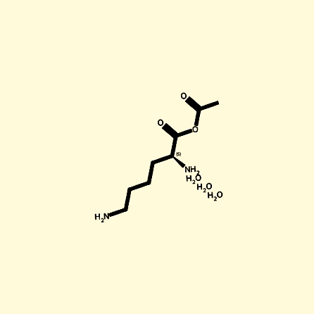 CC(=O)OC(=O)[C@@H](N)CCCCN.O.O.O